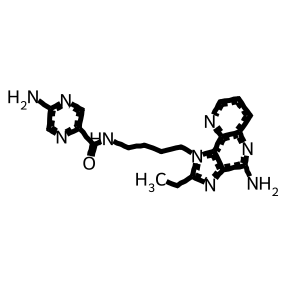 CCc1nc2c(N)nc3cccnc3c2n1CCCCNC(=O)c1cnc(N)cn1